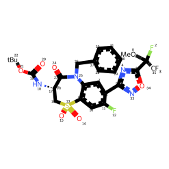 COC(F)(c1nc(-c2cc3c(cc2F)S(=O)(=O)C[C@H](NC(=O)OC(C)(C)C)C(=O)N3Cc2ccccc2)no1)C(F)(F)F